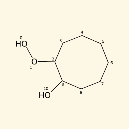 OOC1CCCCCCC1O